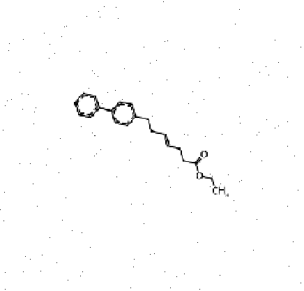 CCOC(=O)CC/C=C/CCc1ccc(-c2ccccc2)cc1